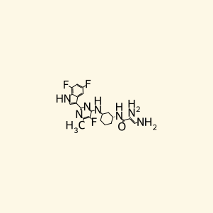 Cc1nc(-c2c[nH]c3c(F)cc(F)cc23)nc(NC2CCC[C@@H](NC(=O)/C(N)=C/N)C2)c1F